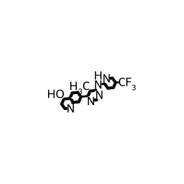 Cc1c(Nc2ccc(C(F)(F)F)cn2)ncnc1-c1ccc2c(O)ccnc2c1